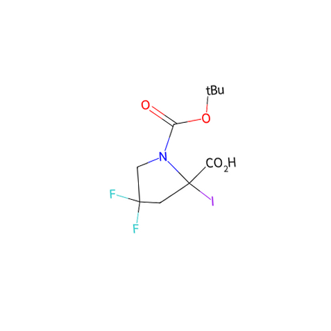 CC(C)(C)OC(=O)N1CC(F)(F)CC1(I)C(=O)O